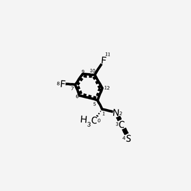 C[C@@H](N=C=S)c1cc(F)cc(F)c1